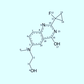 CN(CCO)c1ccc2nc(C3(F)CC3)nc(O)c2c1